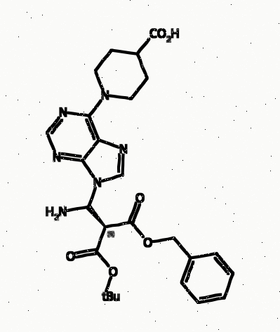 CC(C)(C)OC(=O)[C@H](C(=O)OCc1ccccc1)C(N)n1cnc2c(N3CCC(C(=O)O)CC3)ncnc21